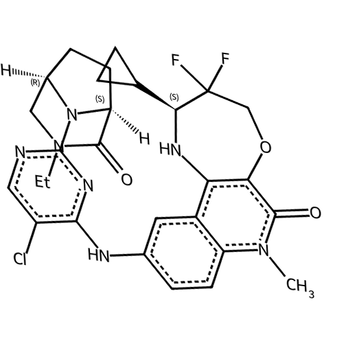 CCN1C[C@H]2CC[C@@H](C1=O)N2c1ncc(Cl)c(Nc2ccc3c(c2)c2c(c(=O)n3C)OCC(F)(F)[C@H](C3CC3)N2)n1